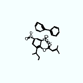 CCC(C)c1cc([N+](=O)[O-])cc([N+](=O)[O-])c1OC(=O)C=C(C)C.c1ccc(-c2ccccc2)cc1